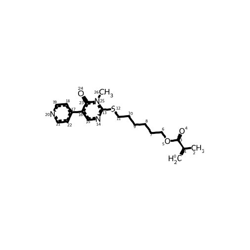 C=C(C)C(=O)OCCCCCCSc1ncc(-c2ccncc2)c(=O)n1C